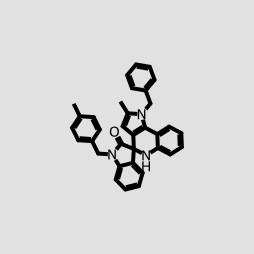 Cc1ccc(CN2C(=O)C3(Nc4ccccc4-c4c3cc(C)n4Cc3ccccc3)c3ccccc32)cc1